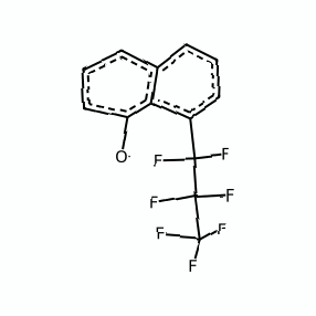 [O]c1cccc2cccc(C(F)(F)C(F)(F)C(F)(F)F)c12